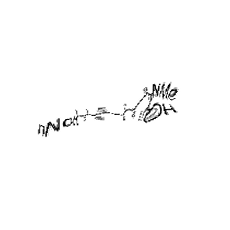 CCCCCCCCCCCCCCCCCCC(CO)NC